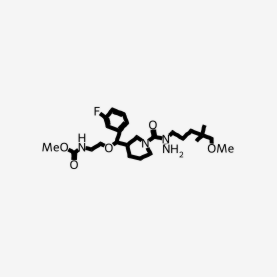 COCC(C)(C)CCCN(N)C(=O)N1CCCC(C(OCCNC(=O)OC)c2cccc(F)c2)C1